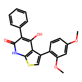 COc1ccc(-c2csc3[nH]c(=O)c(-c4ccccc4)c(O)c23)c(OC)c1